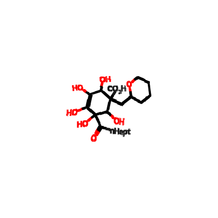 CCCCCCCC(=O)C1(O)C(O)=C(O)C(O)C(CC2CCCCO2)(C(=O)O)C1O